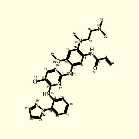 C=CC(=O)Nc1cc(Nc2ncc(Cl)c(Nc3ccccc3-n3cccn3)n2)c(OC)cc1N(C)CCN(C)C